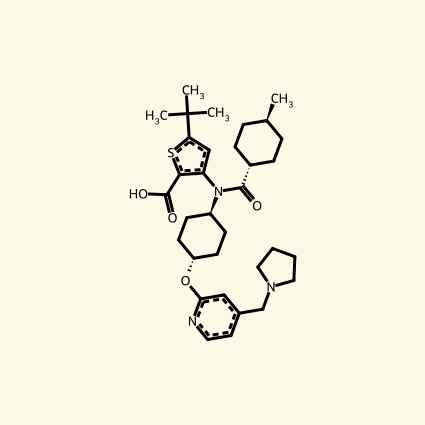 CC(C)(C)c1cc(N(C(=O)[C@H]2CC[C@H](C)CC2)[C@H]2CC[C@H](Oc3cc(CN4CCCC4)ccn3)CC2)c(C(=O)O)s1